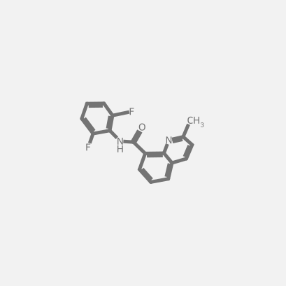 Cc1ccc2cccc(C(=O)Nc3c(F)cccc3F)c2n1